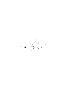 C=C(C)C(=O)OC1C2CC(CC(=O)OCC)C(C2)C1OC(OC)C(C)C